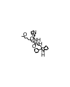 CC(=O)CCCCC[C@H](NC(=O)Cn1cccn1)C(=O)NCCc1c(-c2ccccc2)[nH]c2ccccc12